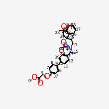 COC(=O)COc1ccc(-c2ccc([C@H](C)N3CCC(CC(C)(C)O)(c4ccccc4)OC3=O)cc2)cc1